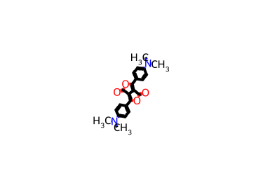 CN(C)c1ccc(C2=C3C(=O)OC(c4ccc(N(C)C)cc4)=C3C(=O)O2)cc1